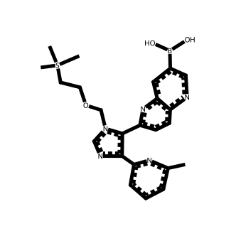 Cc1cccc(-c2ncn(COCCS(C)(C)C)c2-c2ccc3ncc(B(O)O)cc3n2)n1